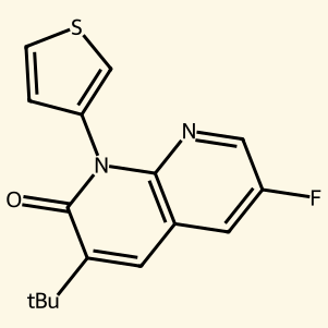 CC(C)(C)c1cc2cc(F)cnc2n(-c2ccsc2)c1=O